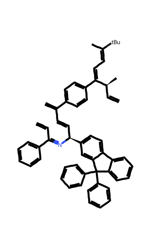 C=C/C(=N\[C@@H](/C=C/C(=C)c1ccc(/C(=C/C=C(\C)C(C)(C)C)[C@@H](C)C=C)cc1)c1ccc2c(c1)C(c1ccccc1)(c1ccccc1)c1ccccc1-2)c1ccccc1